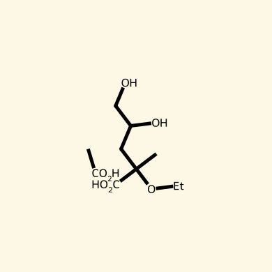 CC(=O)O.CCOC(C)(CC(O)CO)C(=O)O